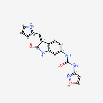 O=C(Nc1ccc2c(c1)NC(=O)/C2=C\c1ccc[nH]1)Nc1ccon1